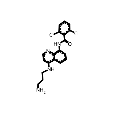 NCCCNc1ccnc2c(NC(=O)c3c(Cl)cccc3Cl)cccc12